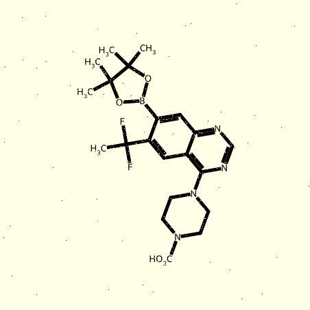 CC(F)(F)c1cc2c(N3CCN(C(=O)O)CC3)ncnc2cc1B1OC(C)(C)C(C)(C)O1